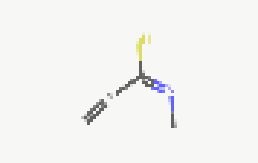 [CH2]=[Y]/[C](S)=N\C